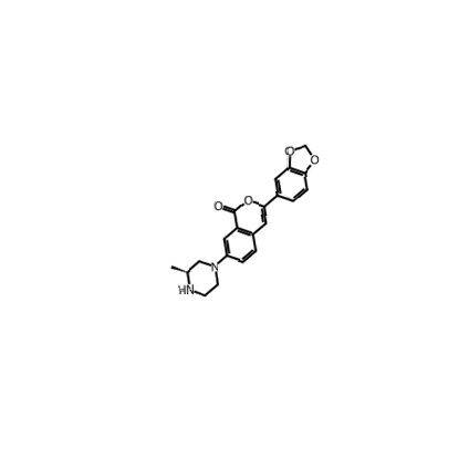 C[C@H]1CN(c2ccc3cc(-c4ccc5c(c4)OCO5)oc(=O)c3c2)CCN1